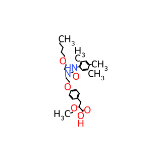 CCCCCOCCN(CCOc1ccc(CC(OCC)C(=O)O)cc1)C(=O)Nc1cc(C)c(C)cc1C